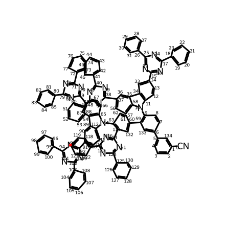 N#Cc1cccc(-c2ccc(-n3c4ccc(-c5nc(-c6ccccc6)nc(-c6ccccc6)n5)cc4c4cc(-c5nc(-c6ccccc6)nc(-c6ccccc6)n5)ccc43)c(-c3ccc(-n4c5ccc(-c6nc(-c7ccccc7)nc(-c7ccccc7)n6)cc5c5cc(-c6nc(-c7ccccc7)nc(-c7ccccc7)n6)ccc54)c(-c4nc(-c5ccccc5)nc(-c5ccccc5)n4)c3)c2)c1